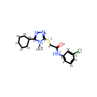 CCn1c(SCC(=O)Nc2cccc(Cl)c2)nnc1C1CCCCC1